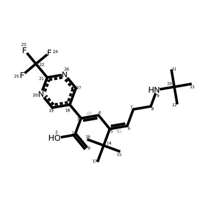 C=C(O)/C(=C\C(=C/CCNC(C)(C)C)C(C)(C)C)c1cnc(C(F)(F)F)nc1